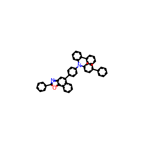 c1ccc(-c2ccc(N(c3ccc(-c4cc5nc(-c6ccccc6)oc5c5ccccc45)cc3)c3ccccc3-c3ccccc3)cc2)cc1